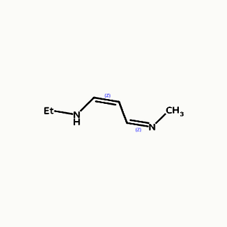 CCN/C=C\C=N/C